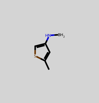 BNc1csc(C)c1